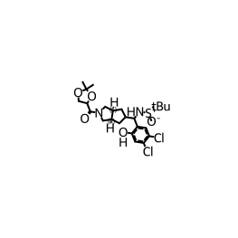 CC1(C)OCC(C(=O)N2C[C@H]3CC(C(N[S+]([O-])C(C)(C)C)c4cc(Cl)c(Cl)cc4O)C[C@H]3C2)O1